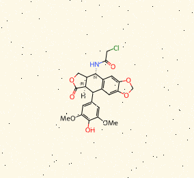 COc1cc(C2c3cc4c(cc3[C@@H](NC(=O)CCl)C3COC(=O)[C@H]23)OCO4)cc(OC)c1O